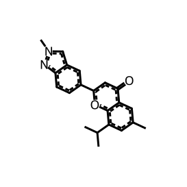 Cc1cc(C(C)C)c2oc(-c3ccc4nn(C)cc4c3)cc(=O)c2c1